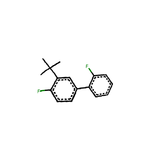 CC(C)(C)c1cc(-c2ccccc2F)ccc1F